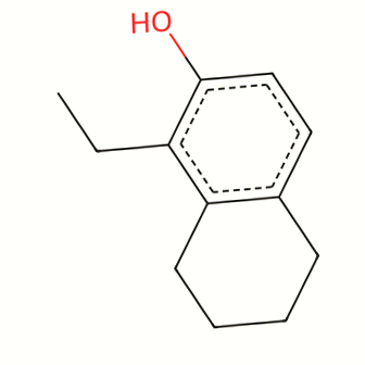 CCc1c(O)ccc2c1CCCC2